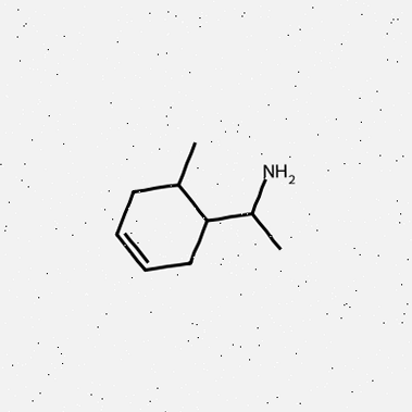 CC(N)C1CC=CCC1C